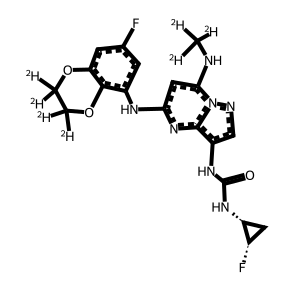 [2H]C([2H])([2H])Nc1cc(Nc2cc(F)cc3c2OC([2H])([2H])C([2H])([2H])O3)nc2c(NC(=O)N[C@@H]3C[C@@H]3F)cnn12